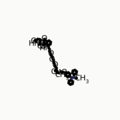 CC/C(=C(\c1ccccc1)c1ccc(OCCN(C)C(=O)CCOCCOCCOCCNc2cccc3c2C(=O)N(C2CCC(=O)NC2=O)C3=O)cc1)c1ccccc1